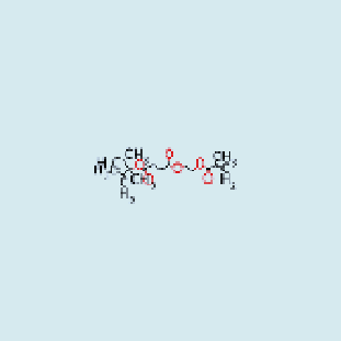 C=C(C)C(=O)OCCOC(=O)CCC(=O)OC(C)(C(C)C)C(C)C